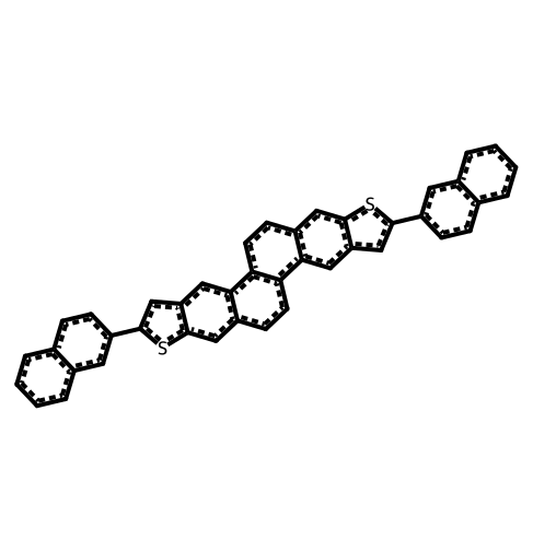 c1ccc2cc(-c3cc4cc5c(ccc6c7cc8cc(-c9ccc%10ccccc%10c9)sc8cc7ccc56)cc4s3)ccc2c1